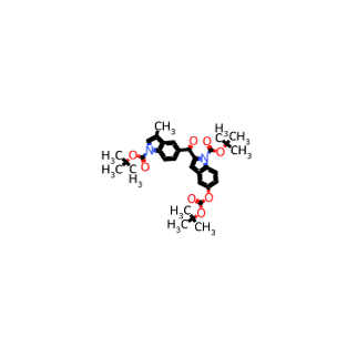 Cc1cn(C(=O)OC(C)(C)C)c2ccc(C(=O)c3cc4cc(OC(=O)OC(C)(C)C)ccc4n3C(=O)OC(C)(C)C)cc12